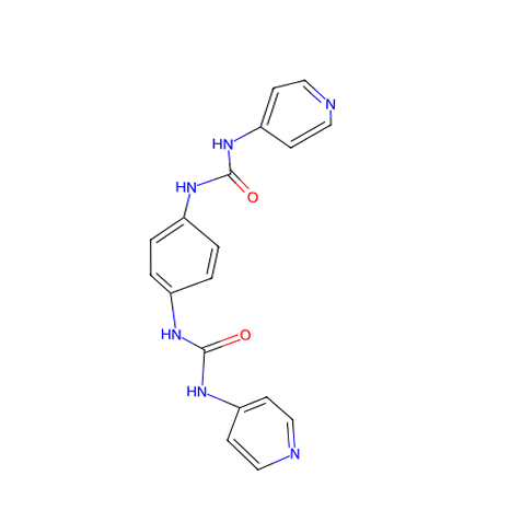 O=C(Nc1ccncc1)Nc1ccc(NC(=O)Nc2ccncc2)cc1